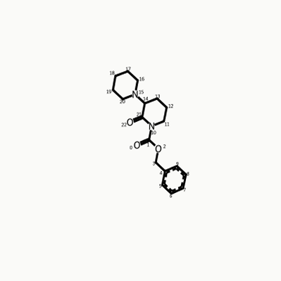 O=C(OCc1ccccc1)N1CCCC(N2CCCCC2)C1=O